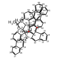 CCCCCCOC(c1cccc2c1ccc1ccccc12)(c1cccc2c1ccc1ccccc12)C1O[C@@H](C)OC1[C@@](OCCCCCC)(c1cccc2c1ccc1ccccc12)c1c(C)ccc2c1ccc1ccccc12